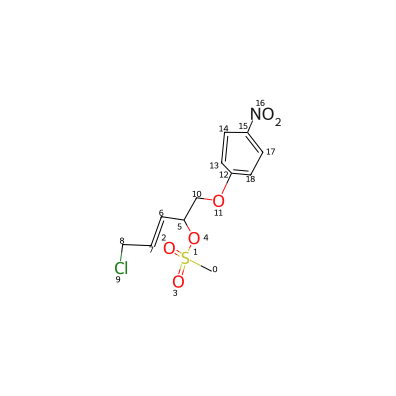 CS(=O)(=O)OC(C=CCCl)COc1ccc([N+](=O)[O-])cc1